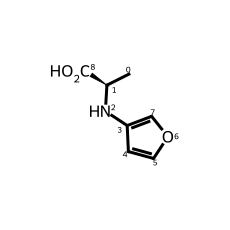 C[C@@H](Nc1ccoc1)C(=O)O